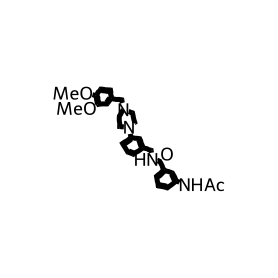 COc1ccc(CN2CCN(c3cccc(CNC(=O)c4cccc(NC(C)=O)c4)c3)CC2)cc1OC